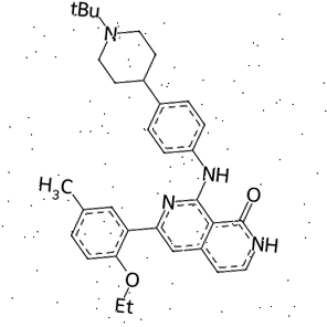 CCOc1ccc(C)cc1-c1cc2cc[nH]c(=O)c2c(Nc2ccc(C3CCN(C(C)(C)C)CC3)cc2)n1